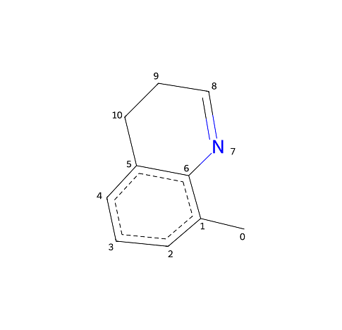 Cc1cccc2c1N=CCC2